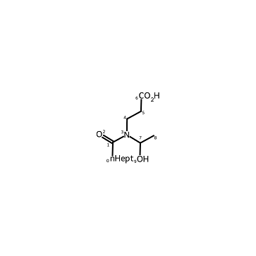 CCCCCCCC(=O)N(CCC(=O)O)C(C)O